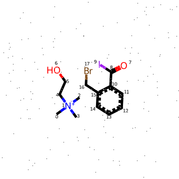 C[N+](C)(C)CCO.O=C(I)c1ccccc1CBr